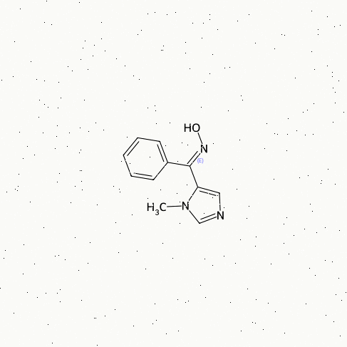 Cn1cncc1/C(=N/O)c1ccccc1